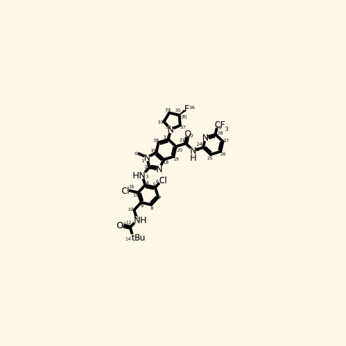 Cn1c(Nc2c(Cl)ccc(CNC(=O)C(C)(C)C)c2Cl)nc2cc(C(=O)Nc3cccc(C(F)(F)F)n3)c(N3CC[C@@H](F)C3)cc21